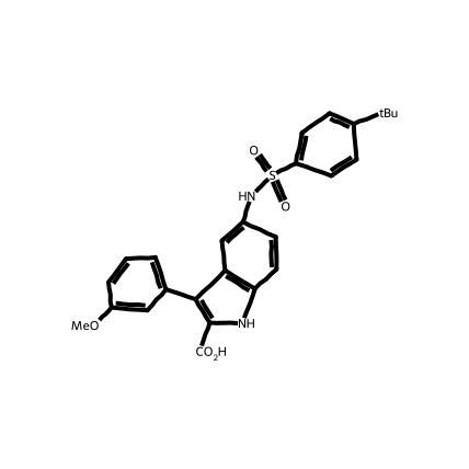 COc1cccc(-c2c(C(=O)O)[nH]c3ccc(NS(=O)(=O)c4ccc(C(C)(C)C)cc4)cc23)c1